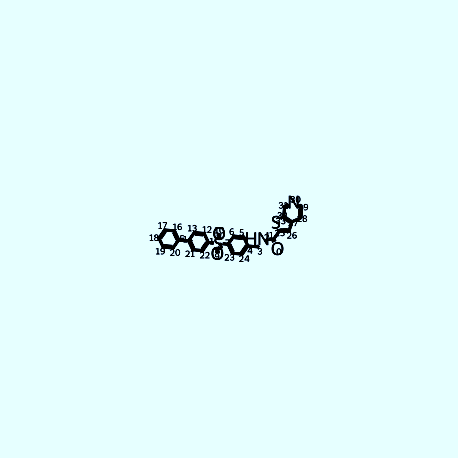 O=C(NCc1ccc(S(=O)(=O)c2ccc(-c3ccccc3)cc2)cc1)c1cc2ccncc2s1